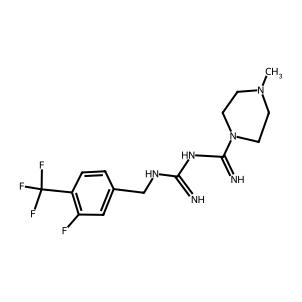 CN1CCN(C(=N)NC(=N)NCc2ccc(C(F)(F)F)c(F)c2)CC1